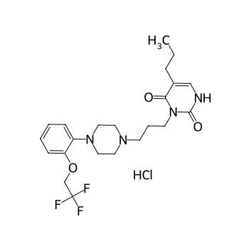 CCCc1c[nH]c(=O)n(CCCN2CCN(c3ccccc3OCC(F)(F)F)CC2)c1=O.Cl